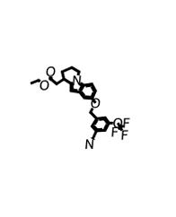 CCOC(=O)CC1CCCn2c1cc1cc(OCc3cc(C#N)cc(OC(F)(F)F)c3)ccc12